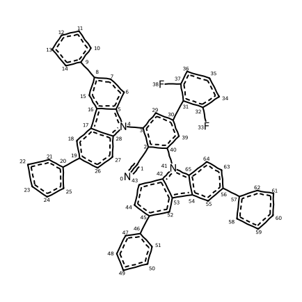 N#Cc1c(-n2c3ccc(-c4ccccc4)cc3c3cc(-c4ccccc4)ccc32)cc(-c2c(F)cccc2F)cc1-n1c2ccc(-c3ccccc3)cc2c2cc(-c3ccccc3)ccc21